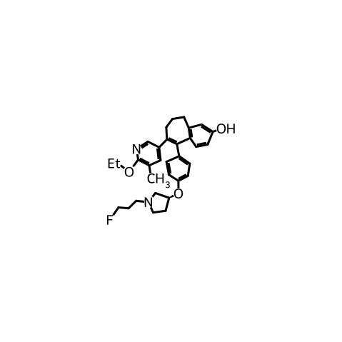 CCOc1ncc(C2=C(c3ccc(O[C@H]4CCN(CCCF)C4)cc3)c3ccc(O)cc3CCC2)cc1C